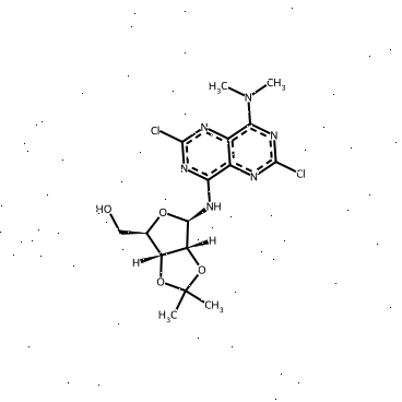 CN(C)c1nc(Cl)nc2c(N[C@@H]3O[C@H](CO)[C@H]4OC(C)(C)O[C@H]43)nc(Cl)nc12